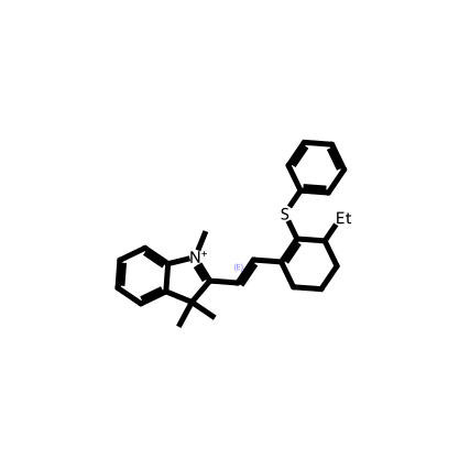 CCC1CCCC(/C=C/C2=[N+](C)c3ccccc3C2(C)C)=C1Sc1ccccc1